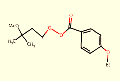 CCOc1ccc(C(=O)OO[CH]CC(C)(C)OC)cc1